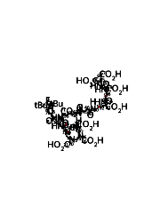 CC(C)(C)[Si](F)(c1ccc(C(=O)NC[C@H](NC(=O)CN2CCN(CC(=O)O)CCN(CC(=O)O)CCN(CC(=O)O)CC2)C(=O)NC(CCCCNC(=O)CCC(=O)NCCC[C@@H](NC(=O)CC[C@H](NC(=O)N[C@@H](CCC(=O)O)C(=O)O)C(=O)O)C(=O)O)C(=O)O)cc1)C(C)(C)C